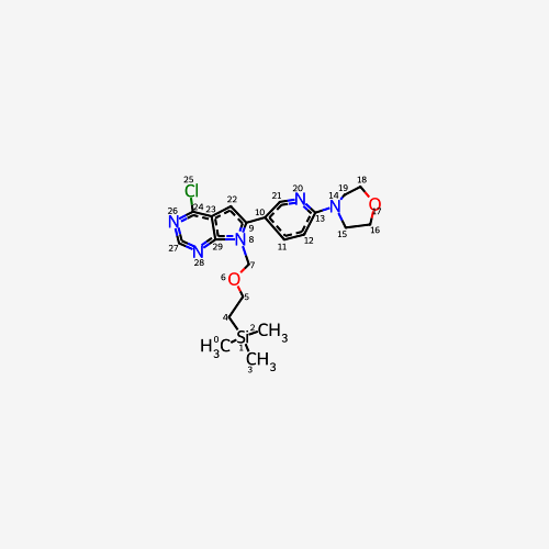 C[Si](C)(C)CCOCn1c(-c2ccc(N3CCOCC3)nc2)cc2c(Cl)ncnc21